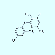 Cc1ccc(Sc2nc(C)cc(Cl)c2C)c(C)c1